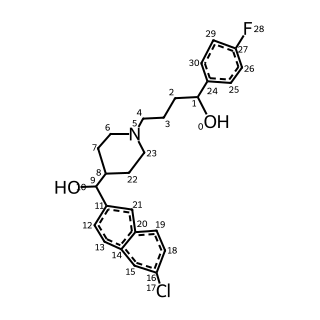 OC(CCCN1CCC(C(O)c2ccc3cc(Cl)ccc3c2)CC1)c1ccc(F)cc1